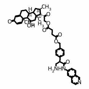 C[C@@H]1CC2[C@@H]3CCC4=CC(=O)C=C[C@]4(C)C3[C@@H](O)C[C@]2(C)[C@H]1C(=O)COC(=O)CCC(=O)OCc1ccc(C(CN)C(=O)Nc2ccc3cnccc3c2)cc1